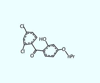 CCCOc1ccc(C(=O)c2ccc(Cl)cc2Cl)c(O)c1